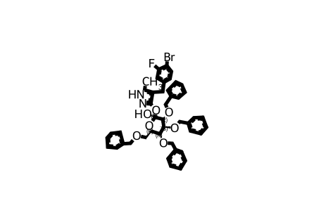 Cc1[nH]nc(O[C@]2(O)O[C@H](COCc3ccccc3)[C@@H](OCc3ccccc3)[C@H](OCc3ccccc3)[C@H]2OCc2ccccc2)c1Cc1ccc(Br)c(F)c1